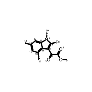 COC(=O)C(=O)c1c(F)n(F)c2cc(C)cc(F)c12